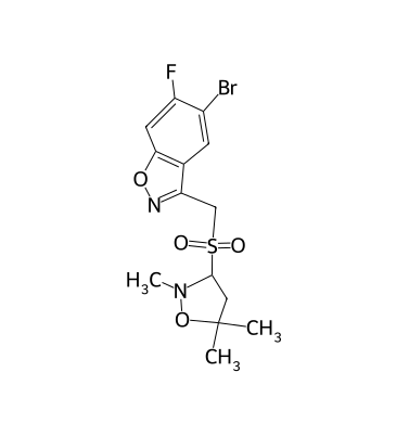 CN1OC(C)(C)CC1S(=O)(=O)Cc1noc2cc(F)c(Br)cc12